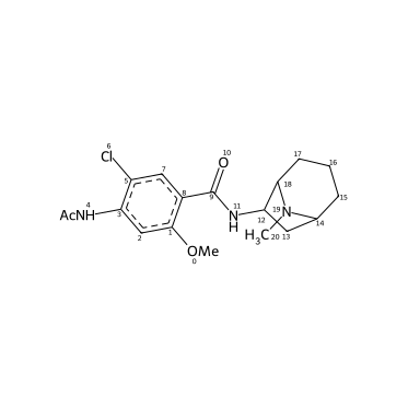 COc1cc(NC(C)=O)c(Cl)cc1C(=O)NC1CC2CCCC1N2C